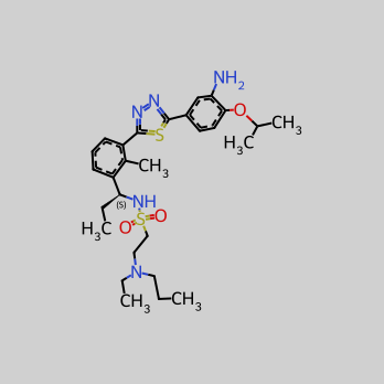 CCCN(CC)CCS(=O)(=O)N[C@@H](CC)c1cccc(-c2nnc(-c3ccc(OC(C)C)c(N)c3)s2)c1C